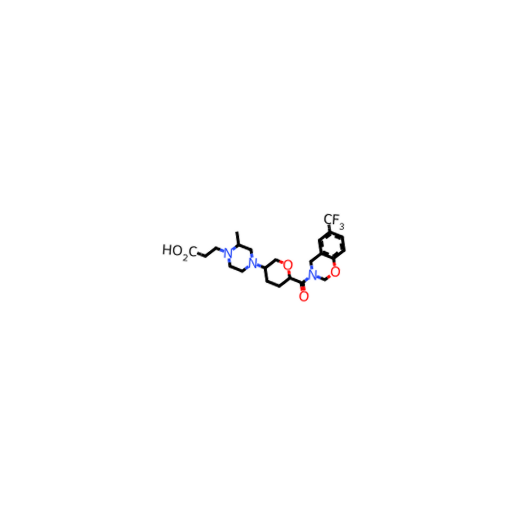 CC1CN(C2CCC(C(=O)N3COc4ccc(C(F)(F)F)cc4C3)OC2)CCN1CCC(=O)O